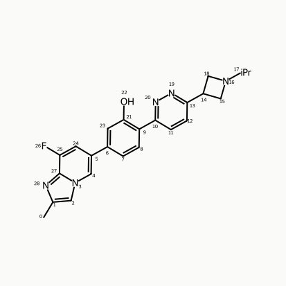 Cc1cn2cc(-c3ccc(-c4ccc(C5CN(C(C)C)C5)nn4)c(O)c3)cc(F)c2n1